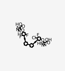 O=C(O)c1nn[nH]c1Oc1cc(F)c(C#Cc2cccc(-c3cccc(C#Cc4cc(Oc5[nH]nnc5C(=O)O)cc(F)c4Cl)c3)c2)c(F)c1